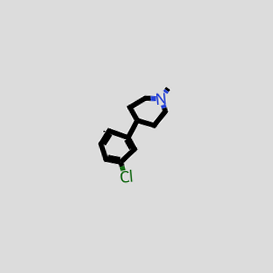 CN1CCC(c2[c]ccc(Cl)c2)CC1